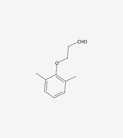 Cc1cccc(C)c1OCCC=O